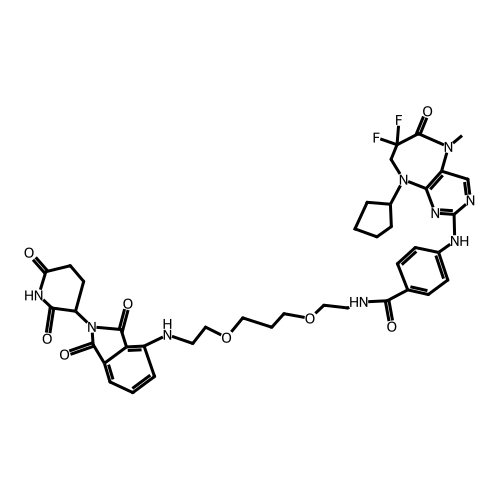 CN1C(=O)C(F)(F)CN(C2CCCC2)c2nc(Nc3ccc(C(=O)NCCOCCCOCCNc4cccc5c4C(=O)N(C4CCC(=O)NC4=O)C5=O)cc3)ncc21